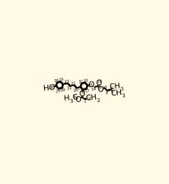 C=CC(=O)OC.CC(C)=CCOC(=O)COc1ccc(C=CC=Cc2ccc(O)cc2)cc1